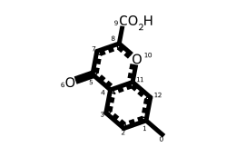 Cc1ccc2c(=O)cc(C(=O)O)oc2c1